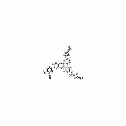 COc1ccc([C@H]2CC[C@H](CN(c3cccc(-c4cnc(C5CC5)s4)c3)C(=O)[C@H]3CC[C@H](OC(=O)N4CC(O)C4)CC3)CC2)nc1C#N